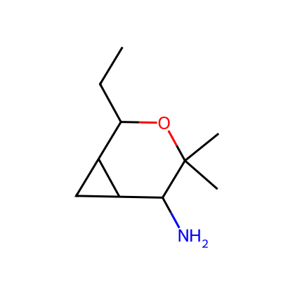 CCC1OC(C)(C)C(N)C2CC12